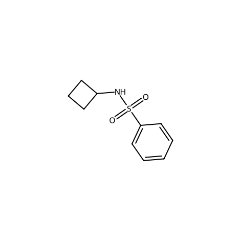 O=S(=O)(NC1CCC1)c1ccccc1